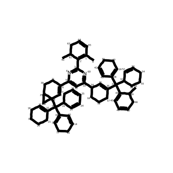 CC1=C(c2nc(C3=CC4(C(C5=CCCC=C5)(C5=CCCCC5)C5C=CC=CC5)CC4CC3)cc(C3C=C(C(C4=CCCC=C4)(C4=CC=CCC4C)C4C=CCCC4)CCC3)n2)C(C)CC=C1